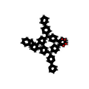 c1ccc(-c2ccc(N(c3ccc(-c4ccccc4)cc3)c3ccc(-c4ccc5c(c4-c4ccc(N(c6ccc(-c7ccccc7)cc6)c6ccc(-c7ccccc7)cc6)cc4)Cc4ccccc4-5)cc3)cc2)cc1